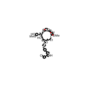 CC[C@@H]1CC[C@H]2O[C@@](O)(C(=O)C(=O)N3CCCC[C@H]3C(=O)OC[C@H](/C(C)=C/[C@@H]3CC[C@@H](O)[C@H](OC)C3)[C@H](C)[C@@H](O)CC(=O)[C@H](CC(=O)N3CCN(Cc4ccc(-c5cnc6[nH]cc(-c7cccc(Cl)c7)c6c5)cc4)CC3)/C=C(\C)C1)[C@H](C)C[C@@H]2OC